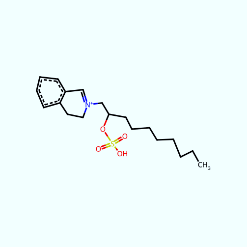 CCCCCCCCC(C[N+]1=Cc2ccccc2CC1)OS(=O)(=O)O